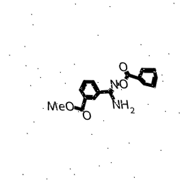 COC(=O)c1cccc(/C(N)=N/OC(=O)c2ccccc2)c1